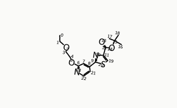 CCOCCOc1cc(-c2nc(C(=O)OC(C)(C)C)cs2)ccn1